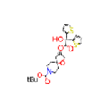 CC(C)(C)OC(=O)N1CCC2(CC1)C[C@H](OC(=O)C(O)(c1cccs1)c1cccs1)CO2